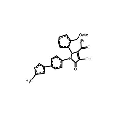 COCc1ccccc1C1C(C(=O)C(C)C)=C(O)C(=O)N1c1ccc(-c2csc(C)c2)cc1